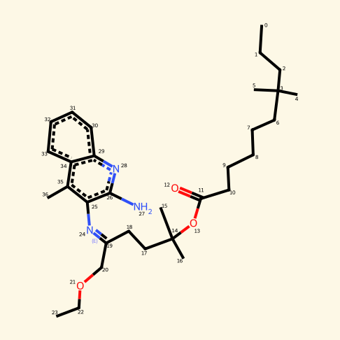 CCCC(C)(C)CCCCCC(=O)OC(C)(C)CC/C(COCC)=N\c1c(N)nc2ccccc2c1C